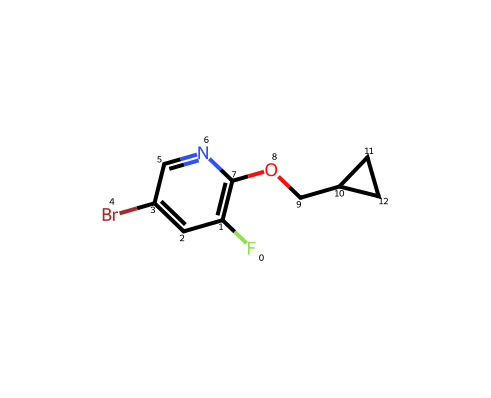 Fc1cc(Br)cnc1OCC1CC1